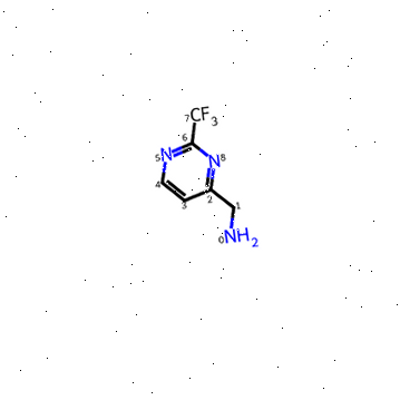 NCc1ccnc(C(F)(F)F)n1